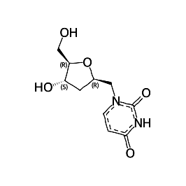 O=c1ccn(C[C@H]2C[C@H](O)[C@@H](CO)O2)c(=O)[nH]1